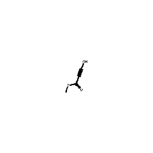 COC(=O)C#CO